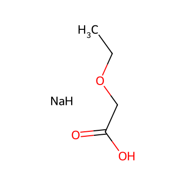 CCOCC(=O)O.[NaH]